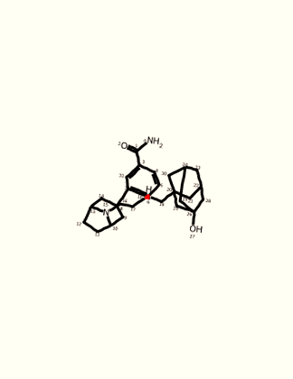 NC(=O)c1cccc(C2CC3CCC(C2)N3CCNCC23CC4CC(CC(O)(C4)C2)C3)c1